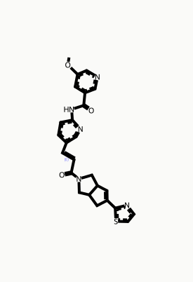 COc1cncc(C(=O)Nc2ccc(/C=C/C(=O)N3CC4C=C(c5nccs5)CC4C3)cn2)c1